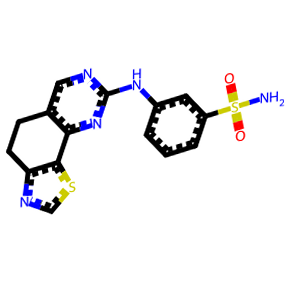 NS(=O)(=O)c1cccc(Nc2ncc3c(n2)-c2scnc2CC3)c1